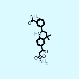 CC1(C)CC(c2cccc(C(N)=O)c2)Nc2ccc(C(=O)CS(N)(=O)=O)cc21